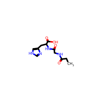 CCC(=O)NCC(=O)NC(Cc1c[nH]cn1)C(=O)O